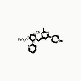 CCOC(=O)[C@@H]1C[C@H](C#N)N(Cc2cc(N3CCN(C)CC3)nc(C)n2)[C@@H]1c1ccccn1